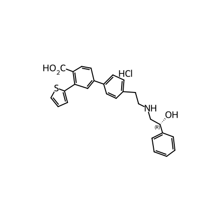 Cl.O=C(O)c1ccc(-c2ccc(CCNC[C@H](O)c3ccccc3)cc2)cc1-c1cccs1